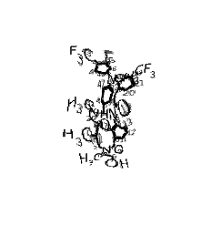 C[C@@H]1CN([C@@H](C)CO)C(=O)c2cccc(NC(=O)Cc3ccc(C(F)(F)F)cc3)c2O[C@@H]1CN(C)Cc1ccc(N(C)c2ccc(C(F)(F)F)c(F)c2)cc1